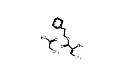 C/C=C(\C)C(=O)OCCc1ccccc1.CCC(=O)O